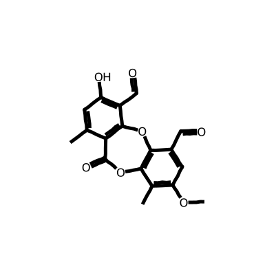 COc1cc(C=O)c2c(c1C)OC(=O)c1c(C)cc(O)c(C=O)c1O2